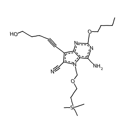 CCCCOc1nc(N)c2c(n1)c(C#CCCCO)c(C#N)n2COCC[Si](C)(C)C